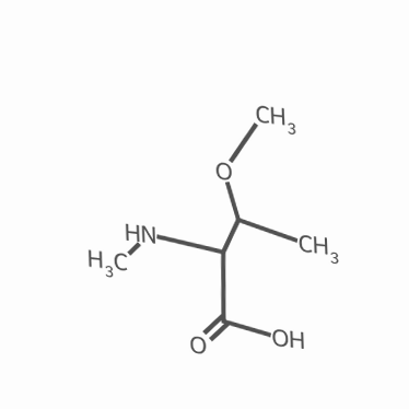 CNC(C(=O)O)C(C)OC